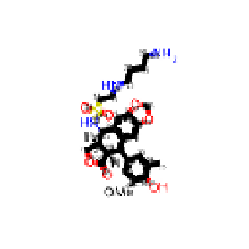 COc1cc(C2c3cc4c(cc3[C@@H](NS(=O)(=O)CCNCCCCN)[C@H]3COC(=O)[C@H]23)OCO4)cc(C)c1O